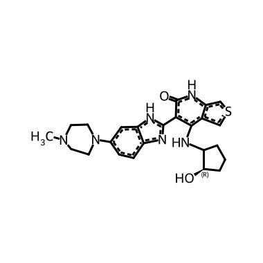 CN1CCN(c2ccc3nc(-c4c(NC5CCC[C@H]5O)c5cscc5[nH]c4=O)[nH]c3c2)CC1